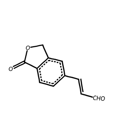 O=C/C=C/c1ccc2c(c1)COC2=O